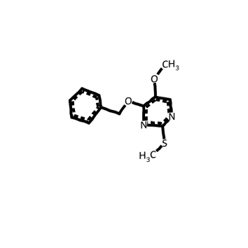 COc1cnc(SC)nc1OCc1ccccc1